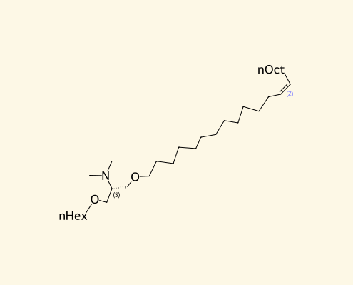 CCCCCCCC/C=C\CCCCCCCCCCCCOC[C@H](COCCCCCC)N(C)C